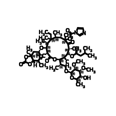 CC[C@]1(C)[C@@H](C)C[C@](C)(OC(=O)n2ccnc2)C(=O)[C@H](C)[C@H](OC(=O)CC(C)C)[C@@H](C)[C@@H]([C@@H](C)CO[C@@H]2O[C@H](C)[C@@H](O)[C@@H](OC)[C@H]2OC)OC(=O)[C@H](C)[C@@H](O[C@H]2C[C@@]3(C)OC(=O)O[C@H]3[C@H](C)O2)[C@@H]1C